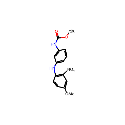 COc1ccc(Nc2cccc(NC(=O)OC(C)(C)C)c2)c([N+](=O)[O-])c1